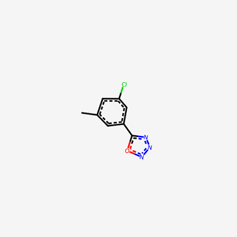 Cc1cc(Cl)cc(-c2nnno2)c1